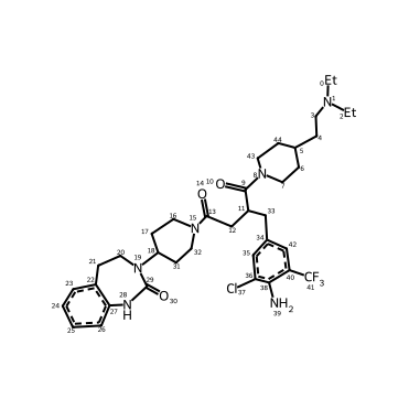 CCN(CC)CCC1CCN(C(=O)C(CC(=O)N2CCC(N3CCc4ccccc4NC3=O)CC2)Cc2cc(Cl)c(N)c(C(F)(F)F)c2)CC1